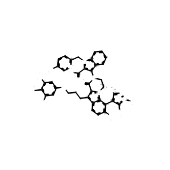 Cc1ccc(Cn2c(C(=O)O)c(N3C[C@@H](C)n4c(c(CCCOc5cc(C)c(Cl)c(C)c5)c5ccc(Cl)c(-c6c(C)nn(C)c6C)c54)C3=O)c3ccccc32)nc1